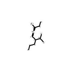 CCCC(C=C=C(F)CC)C(C)C